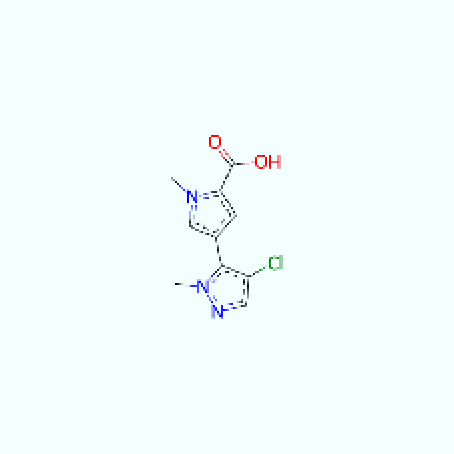 Cn1cc(-c2c(Cl)cnn2C)cc1C(=O)O